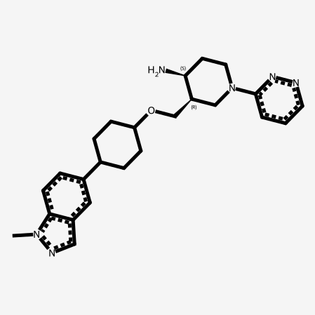 Cn1ncc2cc(C3CCC(OC[C@@H]4CN(c5cccnn5)CC[C@@H]4N)CC3)ccc21